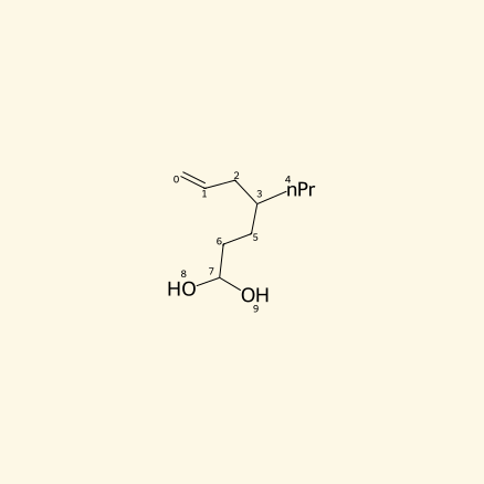 C=CCC(CCC)CCC(O)O